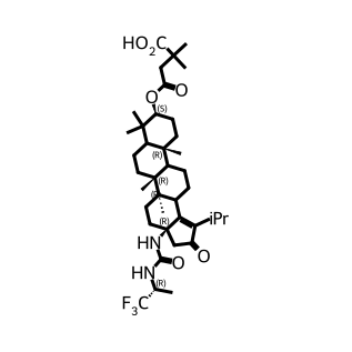 CC(C)C1=C2C3CCC4[C@@]5(C)CC[C@H](OC(=O)CC(C)(C)C(=O)O)C(C)(C)C5CC[C@@]4(C)[C@]3(C)CC[C@@]2(NC(=O)N[C@H](C)C(F)(F)F)CC1=O